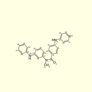 CN(C(=O)c1ccc(Nc2ccncc2)cc1)c1cccc(Nc2ccccc2)c1